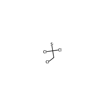 [S]C(Cl)(Cl)CCl